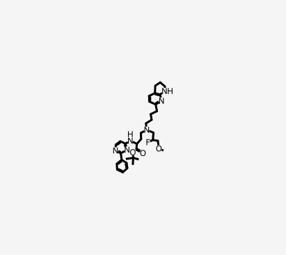 COCC(F)CN(CCCCc1ccc2c(n1)NCCC2)CCC(Nc1ccnc(-c2ccccc2)n1)C(=O)OC(C)(C)C